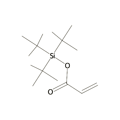 C=CC(=O)O[Si](C(C)(C)C)(C(C)(C)C)C(C)(C)C